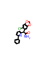 NC(=O)C(c1cccc(-c2ccccc2)n1)c1cc2c(cc1Cl)OCO2